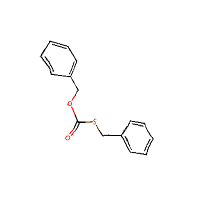 O=C(OCc1ccccc1)SCc1ccccc1